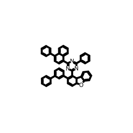 C1=CC2Oc3ccccc3C2C(c2nc(-c3ccccc3)nc(-c3ccc(-c4ccccc4)c4ccccc34)n2)=C1c1cccc(-c2ccccc2)c1